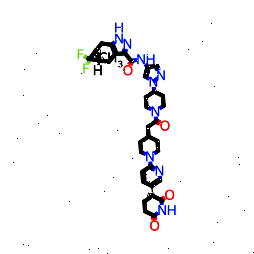 C[C@@]12Cc3[nH]nc(C(=O)Nc4cnn(C5CCN(C(=O)CC6CCN(c7ccc([C@H]8CCC(=O)NC8=O)cn7)CC6)CC5)c4)c3C[C@@H]1C2(F)F